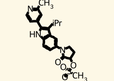 Cc1cc(-c2[nH]c3ccc(N4CCC(OS(C)(=O)=O)C4=O)cc3c2C(C)C)ccn1